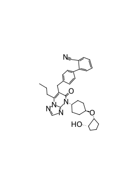 CCCc1c(Cc2ccc(-c3ccccc3C#N)cc2)c(=O)n([C@H]2CC[C@H](O[C@@H]3CCC[C@@H]3O)CC2)c2ncnn12